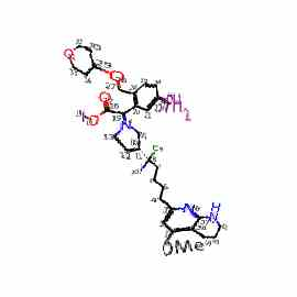 COc1cc(CCCCC(F)(I)[C@@H]2CCN(C(C(=O)OI)c3cc(P)ccc3COC3CCOCC3)C2)nc2c1CCCN2